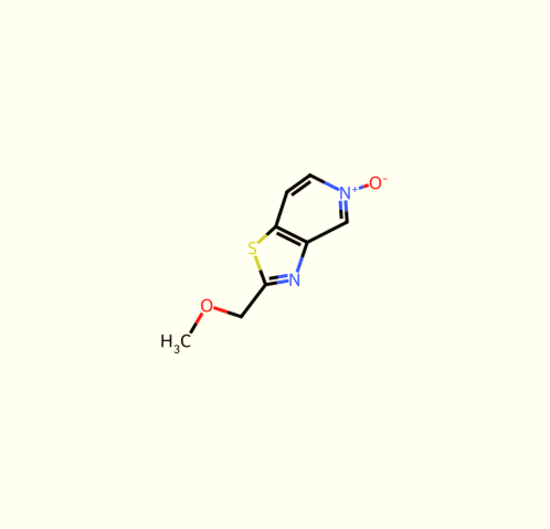 COCc1nc2c[n+]([O-])ccc2s1